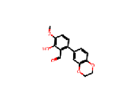 COc1ccc(-c2ccc3c(c2)OCCO3)c(C=O)c1O